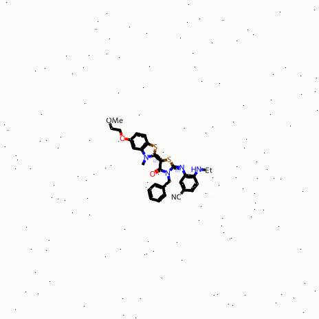 CCNc1ccc(C#N)cc1/N=C1/S/C(=C2\Sc3ccc(OCCOC)cc3N2C)C(=O)N1Cc1ccccc1